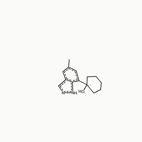 Cc1cc(C2(O)CCCCC2)c2[nH]ncc2c1